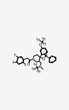 [2H]C([2H])([2H])Oc1cccc(C2(OC(=O)c3ccccc3)CCN(C(=O)Cc3cc(F)c(F)cc3F)CC2CN(C)C([2H])([2H])[2H])c1